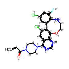 C=CC(=O)N1CCN(c2ncnc3c4c(c(Cl)cc23)-c2cc(Cl)cc(F)c2NCCO4)CC1